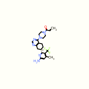 C=CC(=O)N1CCN(c2ncnc3c2CC[C@H](c2nc(N)cc(C)c2C(F)(F)F)C3)CC1